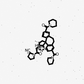 C[C@H](CC1(c2nnn[nH]2)c2ccc(C(=O)N3CCCCC3)cc2CCc2cc(C(=O)N3CCCCC3)ccc21)NCC(=O)N1CCC[C@H]1C#N